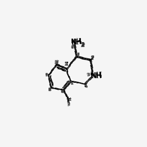 NC1CNCc2c(F)cccc21